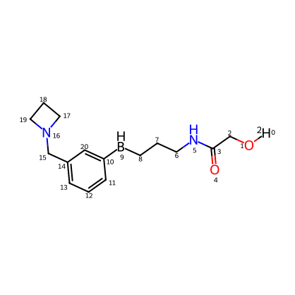 [2H]OCC(=O)NCCCBc1cccc(CN2CCC2)c1